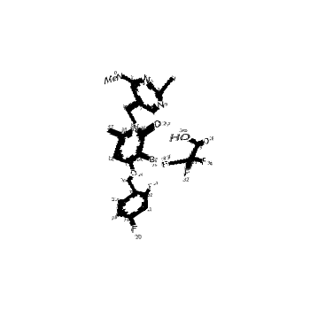 CNc1nc(C)ncc1Cn1c(C)cc(OCc2ccc(F)cc2F)c(Br)c1=O.O=C(O)C(F)(F)F